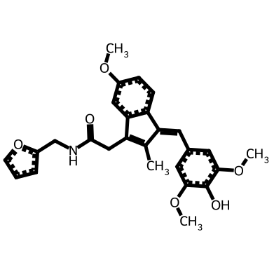 COc1ccc2c(c1)C(CC(=O)NCc1ccco1)=C(C)C2=Cc1cc(OC)c(O)c(OC)c1